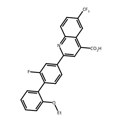 CCOc1ccccc1-c1ccc(-c2cc(C(=O)O)c3cc(C(F)(F)F)ccc3n2)cc1F